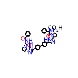 O=C(O)N[C@@H](C(=O)N1CCC[C@H]1c1ncc(-c2ccc(-c3ccc(-c4cnc([C@@H]5CCCN5C(=O)CNC(=O)c5ccccc5)[nH]4)cc3)cc2)[nH]1)c1ccccc1